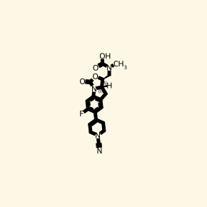 CN(C[C@@H]1OC(=O)N2c3cc(F)c(C4=CCN(C#N)CC4)cc3C[C@@H]12)C(=O)O